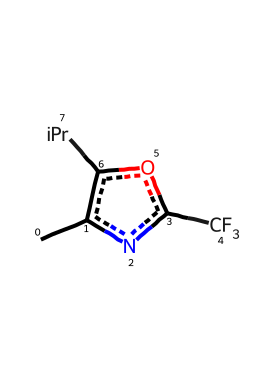 Cc1nc(C(F)(F)F)oc1C(C)C